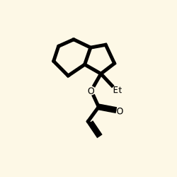 C=CC(=O)OC1(CC)CCC2CCCCC21